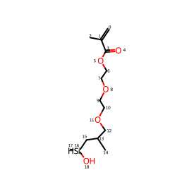 C=C(C)C(=O)OCCOCCOCC(C)C[SiH](C)O